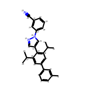 Cc1cccc(-c2cc(C(C)C)c(-c3cnn(-c4cccc(C#N)c4)c3)c(C(C)C)c2)c1